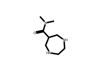 CN(C)C(=O)C1CNCCNC1